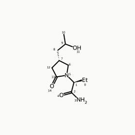 CC[C@@H](C(N)=O)N1C[C@@H](CC(C)O)CC1=O